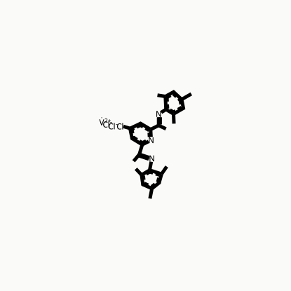 CC(=Nc1c(C)cc(C)cc1C)c1cc(Cl)cc(C(C)=Nc2c(C)cc(C)cc2C)n1.[Cl-].[Cl-].[V+2]